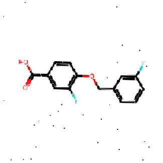 O=C(O)c1ccc(OCc2cccc(F)c2)c(F)c1